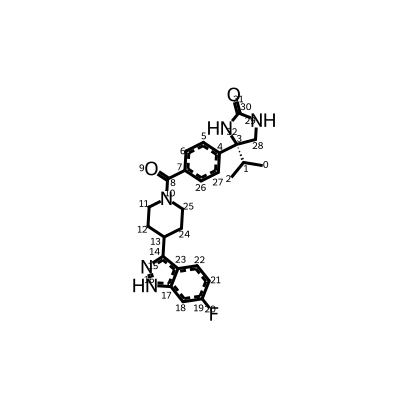 CC(C)[C@@]1(c2ccc(C(=O)N3CCC(c4n[nH]c5cc(F)ccc45)CC3)cc2)CNC(=O)N1